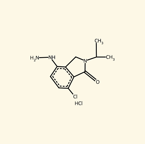 CC(C)N1Cc2c(NN)ccc(Cl)c2C1=O.Cl